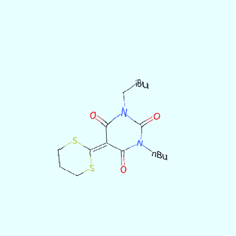 CCCCN1C(=O)C(=C2SCCCS2)C(=O)N(CC(C)CC)C1=O